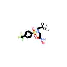 CC(C)CN(CC(=O)NO)S(=O)(=O)c1ccc(C(F)(F)F)cc1